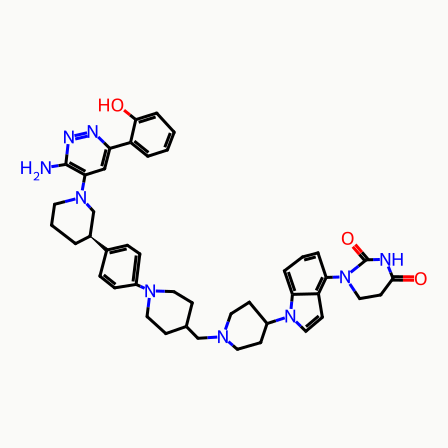 Nc1nnc(-c2ccccc2O)cc1N1CCC[C@H](c2ccc(N3CCC(CN4CCC(n5ccc6c(N7CCC(=O)NC7=O)cccc65)CC4)CC3)cc2)C1